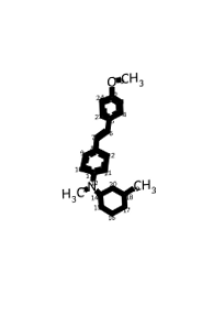 COc1ccc(C=Cc2ccc(N(C)C3CCCC(C)C3)cc2)cc1